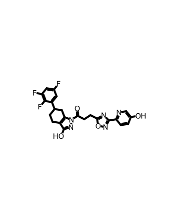 O=C(CCc1nc(-c2ccc(O)cn2)no1)n1nc(O)c2c1CC(c1cc(F)cc(F)c1F)CC2